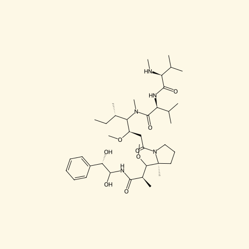 CC[C@H](C)C([C@@H](CC(=O)N1CCC[C@@]1(C)C(OC)[C@@H](C)C(=O)NC(O)[C@@H](O)c1ccccc1)OC)N(C)C(=O)[C@@H](NC(=O)[C@@H](NC)C(C)C)C(C)C